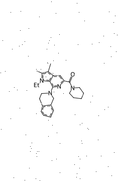 CCn1c(C)c(C)c2cc(C(=O)N3CCCCC3)nc(N3CCc4ccccc4C3)c21